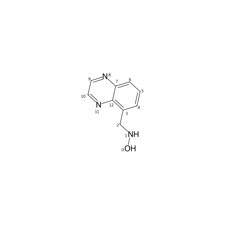 ONCc1cccc2nccnc12